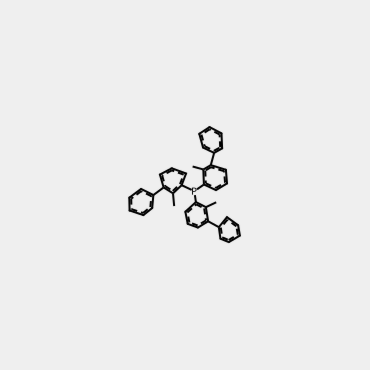 Cc1c(-c2ccccc2)cccc1P(c1cccc(-c2ccccc2)c1C)c1cccc(-c2ccccc2)c1C